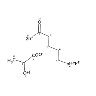 CC(O)C(=O)[O-].CCCCCCCCCCC[C](=O)[Zn+]